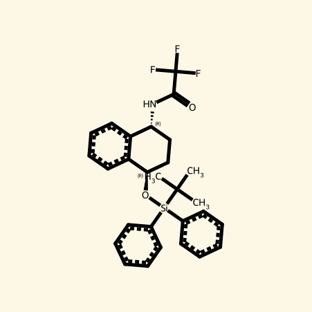 CC(C)(C)[Si](O[C@@H]1CC[C@@H](NC(=O)C(F)(F)F)c2ccccc21)(c1ccccc1)c1ccccc1